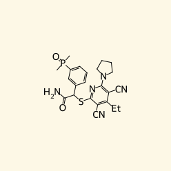 CCc1c(C#N)c(SC(C(N)=O)c2cccc(P(C)(C)=O)c2)nc(N2CCCC2)c1C#N